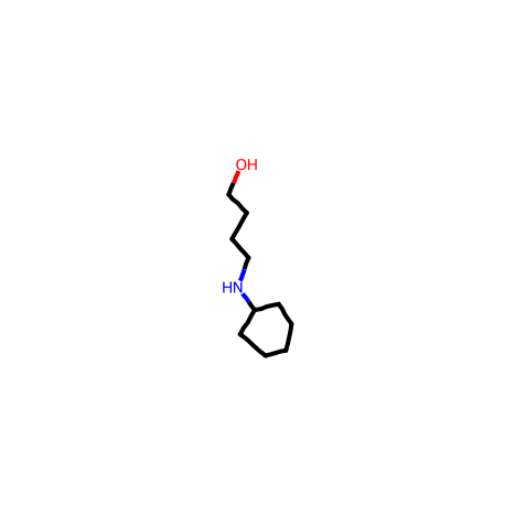 OCCCCNC1CCCCC1